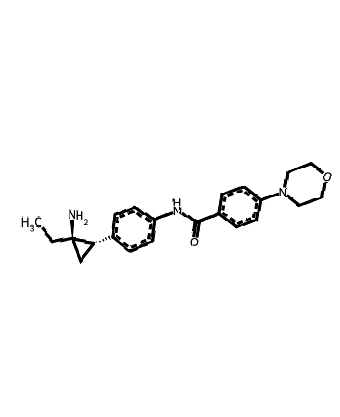 CC[C@@]1(N)C[C@H]1c1ccc(NC(=O)c2ccc(N3CCOCC3)cc2)cc1